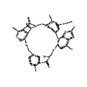 Cc1nc2c3c(cc(C)c2o1)CC1=Nc2c(ccc(C)c2C1=O)CCc1ccc(C)c2c1C(=O)N(Cc1cc-3c3sc(C)nc3c1C)C2=O